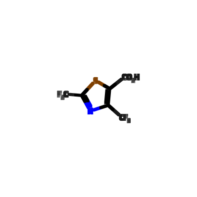 O=C(O)c1sc(C(F)(F)F)nc1C(F)(F)F